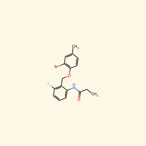 CCC(=O)Nc1cccc(F)c1COc1ccc(C)cc1Br